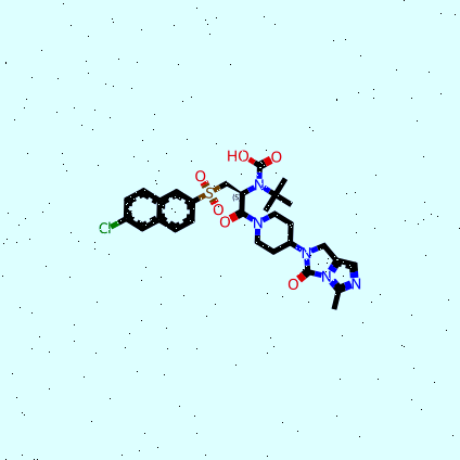 Cc1ncc2n1C(=O)N(C1CCN(C(=O)[C@@H](CS(=O)(=O)c3ccc4cc(Cl)ccc4c3)N(C(=O)O)C(C)(C)C)CC1)C2